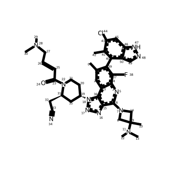 Cc1cc2c(nc(N3CC(C)(N(C)C)C3)c3nnn([C@H]4CCN(C(=O)/C=C/CN(C)C)[C@H](CC#N)C4)c32)c(F)c1-c1c(C)c(Cl)cc2[nH]ncc12